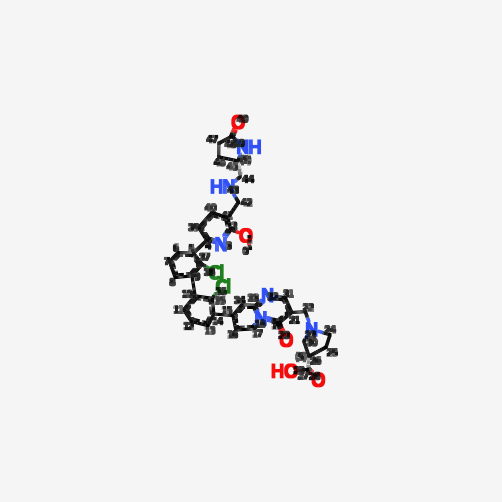 COc1nc(-c2cccc(-c3cccc(-c4ccn5c(=O)c(CN6CC[C@H](C(=O)O)C6)cnc5c4)c3Cl)c2Cl)ccc1CNC[C@@H]1CCC(=O)N1